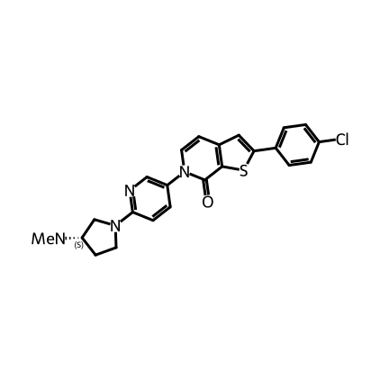 CN[C@H]1CCN(c2ccc(-n3ccc4cc(-c5ccc(Cl)cc5)sc4c3=O)cn2)C1